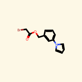 O=C(CBr)OCc1cccc(-n2cccc2)c1